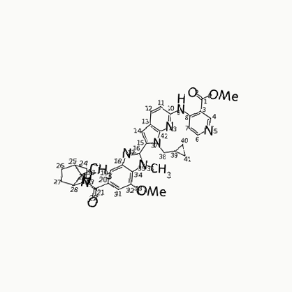 COC(=O)c1cnccc1Nc1ccc2cc(-c3nc4cc(C(=O)N5CC6CCC5[C@@H]6C)cc(OC)c4n3C)n(CC3CC3)c2n1